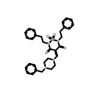 O=C1C(=CN2CCN(Cc3ccccc3)CC2)C(=O)N(CCc2ccccc2)S(=O)(=O)N1CCc1ccccc1